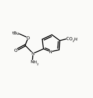 CC(C)(C)OC(=O)N(N)c1ccc(C(=O)O)cn1